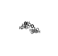 COBNC(Cc1ccc(OC(=O)C2C(C(=O)N3CCN(C)CC3)[C@@H]3C=C[C@H]2O3)cc1)C(=O)O